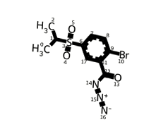 CC(C)S(=O)(=O)c1ccc(Br)c(C(=O)N=[N+]=[N-])c1